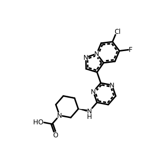 O=C(O)N1CCC[C@@H](Nc2ccnc(-c3cnn4cc(Cl)c(F)cc34)n2)C1